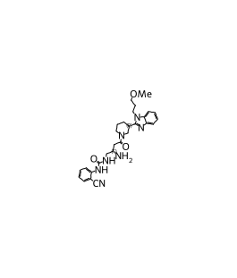 COCCCn1c([C@@H]2CCCN(C(=O)C[C@H](N)CNC(=O)Nc3ccccc3C#N)C2)nc2ccccc21